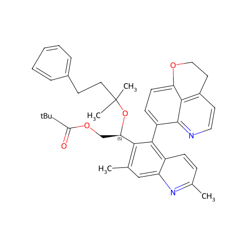 Cc1ccc2c(-c3ccc4c5c(ccnc35)CCO4)c([C@@H](COC(=O)C(C)(C)C)OC(C)(C)CCc3ccccc3)c(C)cc2n1